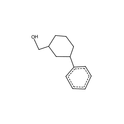 OCC1CCCC(c2ccccc2)C1